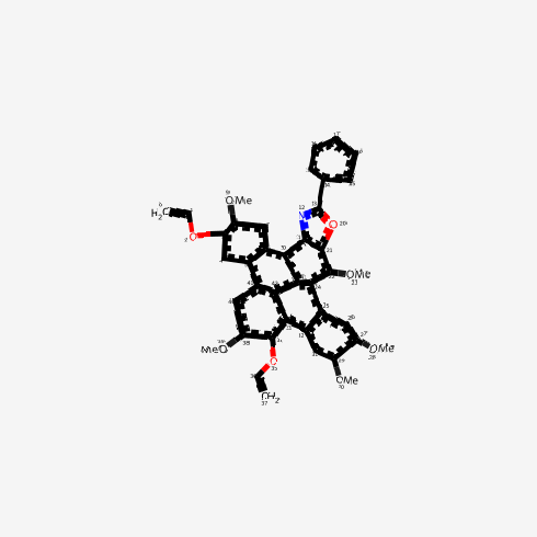 C=COc1cc2c(cc1OC)c1c3nc(-c4ccccc4)oc3c(OC)c3c4cc(OC)c(OC)cc4c4c(OC=C)c(OC)cc2c4c31